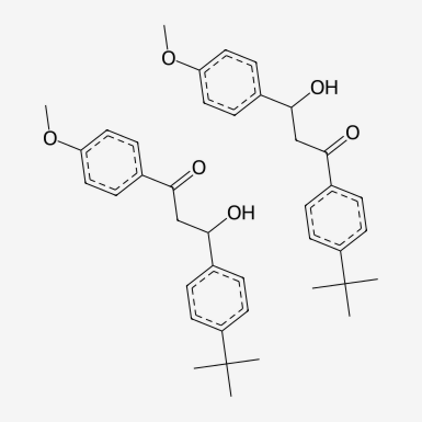 COc1ccc(C(=O)CC(O)c2ccc(C(C)(C)C)cc2)cc1.COc1ccc(C(O)CC(=O)c2ccc(C(C)(C)C)cc2)cc1